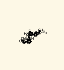 CC(=O)c1ccc(-c2nccc3[nH]c(-c4n[nH]c5c(F)cc(-c6cncc(NC(=O)C(C)C)c6)cc45)nc23)s1